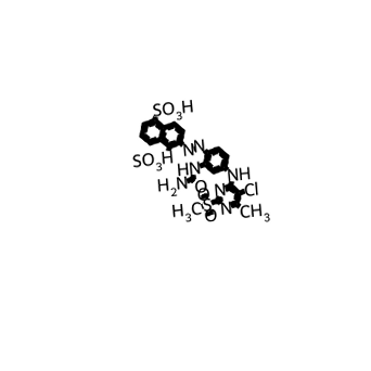 Cc1nc(S(C)(=O)=O)nc(Nc2ccc(/N=N/c3ccc4c(S(=O)(=O)O)cccc4c3S(=O)(=O)O)c(NC(N)=O)c2)c1Cl